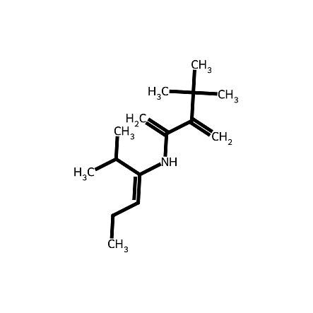 C=C(N/C(=C/CC)C(C)C)C(=C)C(C)(C)C